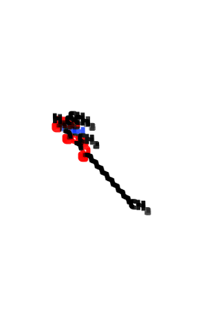 CCCCCCCCCCCCCCCCCC(=O)OCC(COC(=O)C(CNC(=O)O)NC(=O)OC(C)(C)C)OC